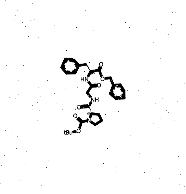 CC(C)(C)OC(=O)N1CCC[C@H]1C(=O)NCC(=O)N[C@H](Cc1ccccc1)C(=O)OCc1ccccc1